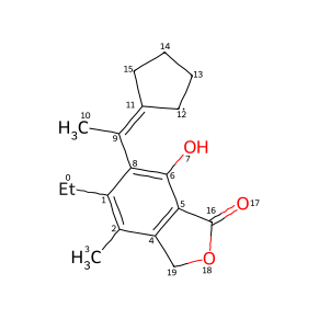 CCc1c(C)c2c(c(O)c1/C(C)=C1\[CH]CCC1)C(=O)OC2